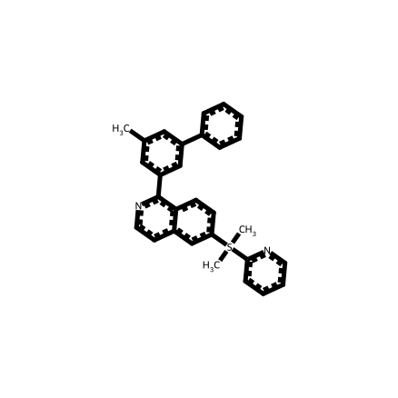 Cc1cc(-c2ccccc2)cc(-c2nccc3cc(S(C)(C)c4ccccn4)ccc23)c1